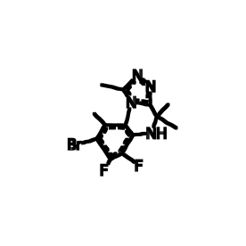 Cc1c(Br)c(F)c(F)c2c1-n1c(C)nnc1C(C)(C)N2